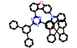 c1ccc(-c2cc(-c3ccccc3)cc(-c3nc(-c4ccccc4)nc(-c4cccc5oc6ccc(-n7c8ccccc8c8c9c(ccc87)-c7ccccc7C97c8ccccc8-c8ccccc87)cc6c45)n3)c2)cc1